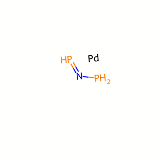 P=NP.[Pd]